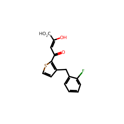 O=C(O)/C(O)=C/C(=O)c1sccc1Cc1ccccc1F